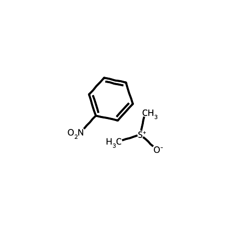 C[S+](C)[O-].O=[N+]([O-])c1ccccc1